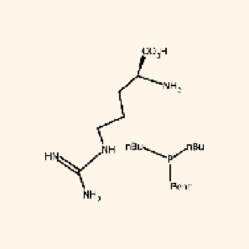 CCCCP(CCCC)C(C)CCC.N=C(N)NCCC[C@H](N)C(=O)O